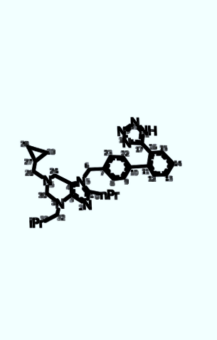 CCCc1nc2c(n1Cc1ccc(-c3ccccc3-c3nnn[nH]3)cc1)CN(CC1CC1)CN2CC(C)C